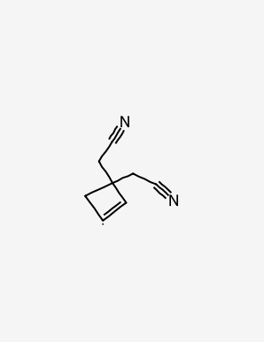 N#CCC1(CC#N)C=[C]C1